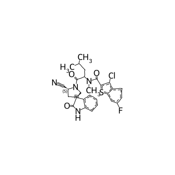 CC(C)CC(C(=O)N1C[C@]2(C[C@H]1C#N)C(=O)Nc1ccccc12)N(C)C(=O)c1sc2cc(F)ccc2c1Cl